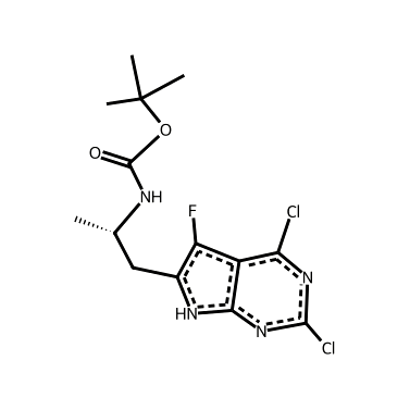 C[C@@H](Cc1[nH]c2nc(Cl)nc(Cl)c2c1F)NC(=O)OC(C)(C)C